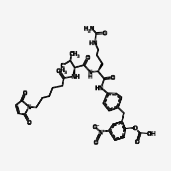 CC(C)[C@H](NC(=O)CCCCCN1C(=O)C=CC1=O)C(=O)N[C@@H](CCCNC(N)=O)C(=O)Nc1ccc(Cc2cc([N+](=O)[O-])ccc2OC(=O)O)cc1